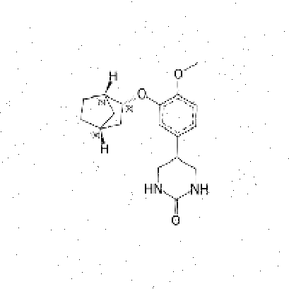 COc1ccc(C2CNC(=O)NC2)cc1O[C@@H]1C[C@@H]2CC[C@H]1C2